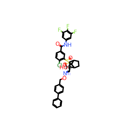 O=C(Nc1cc(F)c(F)c(F)c1)c1ccc(Cl)c(S(=O)(=O)[C@@H]2C3CCC2[C@@](O)(/C=N/OCc2ccc(-c4ccccc4)cc2)C3)c1